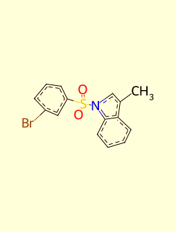 Cc1cn(S(=O)(=O)c2cccc(Br)c2)c2ccccc12